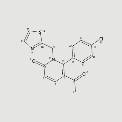 CC(=O)c1ccc(=O)n(Cc2nccs2)c1-c1ccc(Cl)cc1